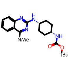 CNc1nc(N[C@H]2CC[C@@H](NC(=O)OC(C)(C)C)CC2)nc2ccccc12